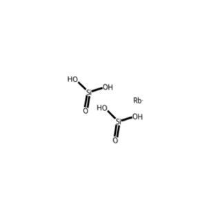 O=[Si](O)O.O=[Si](O)O.[Rb]